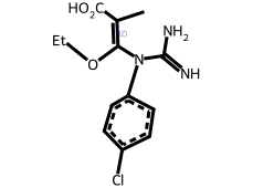 CCO/C(=C(/C)C(=O)O)N(C(=N)N)c1ccc(Cl)cc1